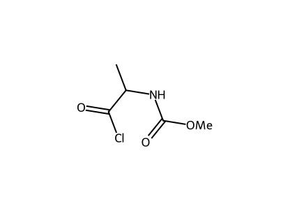 COC(=O)NC(C)C(=O)Cl